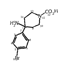 NC1(c2ccc(Br)cc2)CCN(C(=O)O)CC1